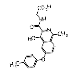 Cc1ccc(Oc2ccc3c(C)nc(C(=O)NCC(=O)O)c(O)c3c2)cc1